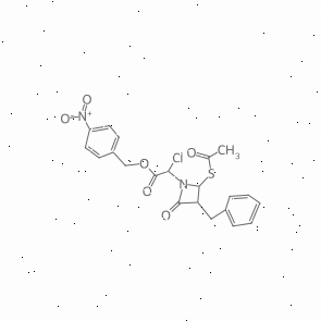 CC(=O)SC1C(Cc2ccccc2)C(=O)N1C(Cl)C(=O)OCc1ccc([N+](=O)[O-])cc1